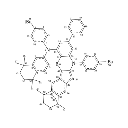 CC(C)(C)c1ccc(N2c3cc4c(cc3B3c5c2cc(-c2ccccc2)cc5N(c2ccc(C(C)(C)C)cc2)c2sc5cc6c(cc5c23)C2(C)CCC6(C)CC2)C(C)(C)CCC4(C)C)cc1